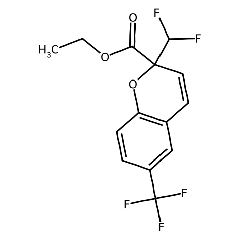 CCOC(=O)C1(C(F)F)C=Cc2cc(C(F)(F)F)ccc2O1